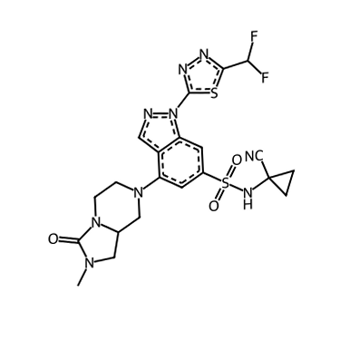 CN1CC2CN(c3cc(S(=O)(=O)NC4(C#N)CC4)cc4c3cnn4-c3nnc(C(F)F)s3)CCN2C1=O